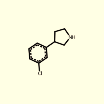 Clc1cccc([C]2CCNC2)c1